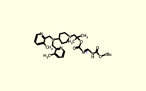 Cc1cccnc1CN(Cc1ncccc1C)C1CCN(CC(C)(C)OC(=O)/N=C/NC(=O)OC(C)(C)C)CC1